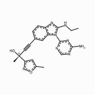 CCNc1nc2ccc(C#C[C@@](C)(O)c3cc(C)on3)cc2n1-c1ncnc(N)n1